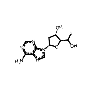 Nc1ncnc2c1ncn2[C@H]1C[C@H](O)[C@@H](C(O)I)O1